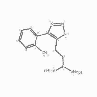 CCCCCCCN(CCCCCCC)CCc1[nH]nnc1-c1ccccc1C